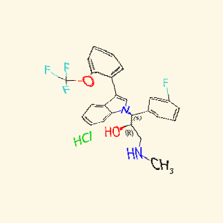 CNC[C@@H](O)[C@H](c1cccc(F)c1)n1cc(-c2ccccc2OC(F)(F)F)c2ccccc21.Cl